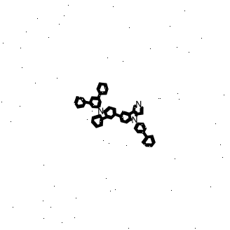 c1ccc(-c2ccc(-n3c4ccncc4c4cc(-c5ccc6c(c5)c5ccccc5n6-c5cc(-c6ccccc6)cc(-c6ccccc6)c5)ccc43)cc2)cc1